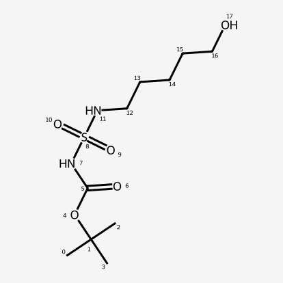 CC(C)(C)OC(=O)NS(=O)(=O)NCCCCCO